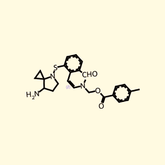 Cc1ccc(C(=O)OCN(C)/C=C\c2c(C=O)cccc2SN2CCC(N)C23CC3)cc1